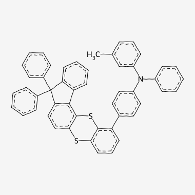 Cc1cccc(N(c2ccccc2)c2ccc(-c3cccc4c3Sc3c(ccc5c3-c3ccccc3C5(c3ccccc3)c3ccccc3)S4)cc2)c1